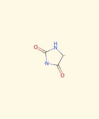 O=C1[CH]NC(=O)[N]1